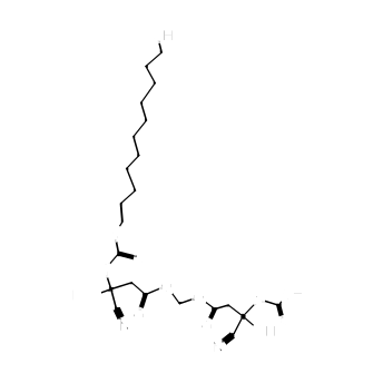 CCCCCCCCCCCCSC(=S)SC(C)(C#N)CC(=O)OCOC(=O)CC(C)(C#N)SC(C)=S